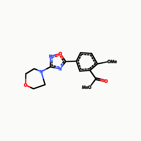 COC(=O)c1cc(-c2nc(N3CCOCC3)no2)ccc1OC